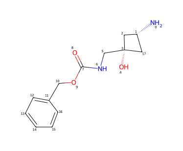 N[C@H]1C[C@](O)(CNC(=O)OCc2ccccc2)C1